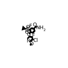 COc1ncc(Oc2c(F)cc(C(N)=O)c(F)c2S(=O)(=O)C2CC2)cc1Cl